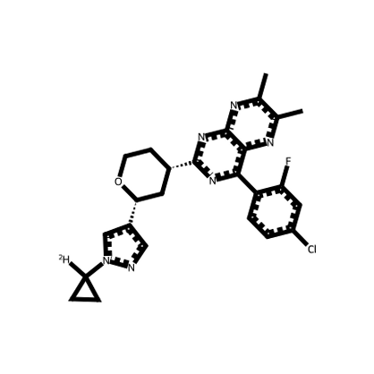 [2H]C1(n2cc([C@H]3C[C@@H](c4nc(-c5ccc(Cl)cc5F)c5nc(C)c(C)nc5n4)CCO3)cn2)CC1